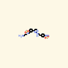 CS(=O)(=O)Nc1ccc(CCNc2nccc(-c3cccc(CN(CCCN)S(C)(=O)=O)c3)n2)cc1